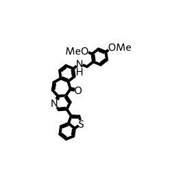 COc1ccc(CNc2ccc3ccc4ncc(-c5csc6ccccc56)cc4c(=O)c3c2)c(OC)c1